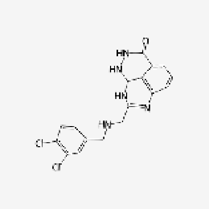 O=C1NNC2NC(CNCc3ccc(Cl)c(Cl)c3)=Nc3cccc1c32